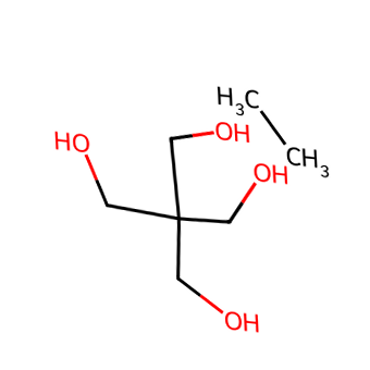 CC.OCC(CO)(CO)CO